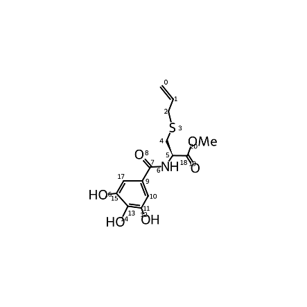 C=CCSC[C@H](NC(=O)c1cc(O)c(O)c(O)c1)C(=O)OC